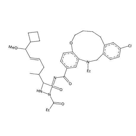 CCC(=O)N1NC(C(C)C/C=C/C(OC)C2CCC2)S1(=O)=NC(=O)c1ccc2c(c1)N(CC)Cc1ccc(Cl)cc1CCCCO2